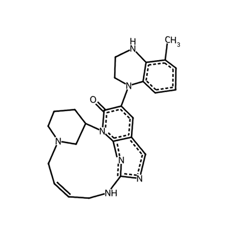 Cc1cccc2c1NCCN2c1cc2cnc3nc2n(c1=O)C1CCCN(C/C=C\CN3)C1